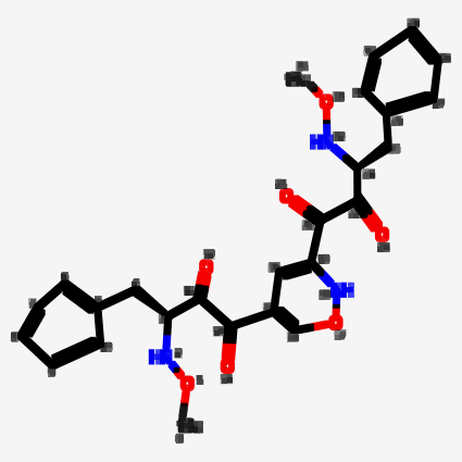 CC(C)(C)ON[C@@H](Cc1ccccc1)C(=O)C(=O)C1=CONC(C(=O)C(=O)[C@H](Cc2ccccc2)NOC(C)(C)C)=C1